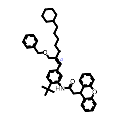 CC(C)(C)c1ccc(/C=C(/CCCCCC2CCCCC2)COCc2ccccc2)cc1NC(=O)CC1c2ccccc2Oc2ccccc21